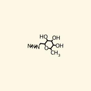 CC1OC(CN=[N+]=[N-])C(O)C(O)C1O